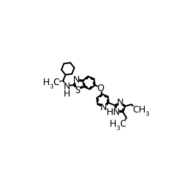 CCc1nc(-c2cc(Oc3ccc4nc(N[C@@H](C)C5CCCCC5)sc4c3)ccn2)[nH]c1CC